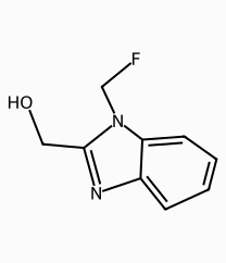 OCc1nc2ccccc2n1CF